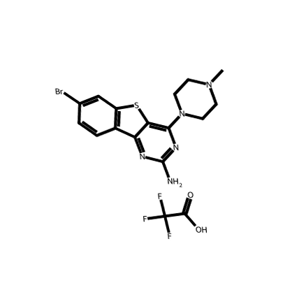 CN1CCN(c2nc(N)nc3c2sc2cc(Br)ccc23)CC1.O=C(O)C(F)(F)F